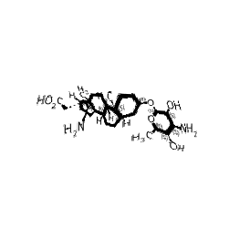 C[C@H]1O[C@H](O[C@@H]2CC[C@@]3(C)[C@H](CC[C@@H]4[C@@H]3CC[C@]3(C)[C@@H]5CC[C@]43O[C@@H](N)[C@H]5CC(=O)O)C2)[C@@H](O)[C@@H](N)[C@@H]1O